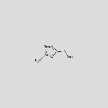 CCCCSc1nnc(N)o1